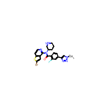 Cn1cc(-c2ccc(C(=O)N(c3nccc4sc(Br)cc34)[C@@H]3CCCNC3)c(F)c2)nn1